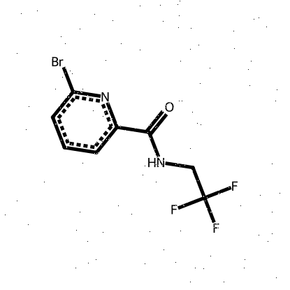 O=C(NCC(F)(F)F)c1cccc(Br)n1